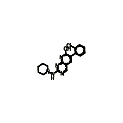 Oc1nc2nc(NN3CCCCC3)ncc2cc1-c1ccccc1Cl